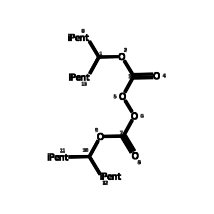 CCCC(C)C(OC(=O)OOC(=O)OC(C(C)CCC)C(C)CCC)C(C)CCC